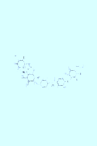 C=Cc1c(F)c(F)c(Oc2ccc(C(c3ccc(Oc4c(F)c(F)c(S(=O)(=O)c5c(F)c(F)c(C)c(F)c5F)c(F)c4F)cc3)(C(F)(F)F)C(F)(F)F)cc2)c(F)c1F